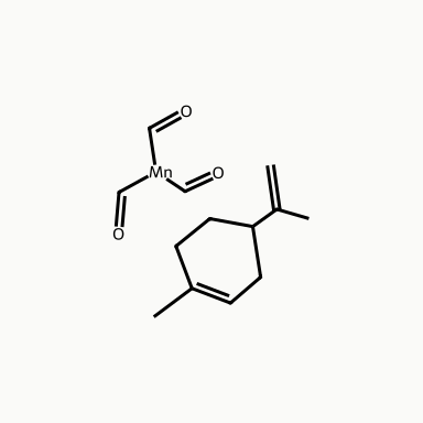 C=C(C)C1CC=C(C)CC1.O=[CH][Mn]([CH]=O)[CH]=O